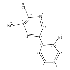 CCc1cnccc1-c1cnc(Cl)c(C#N)c1